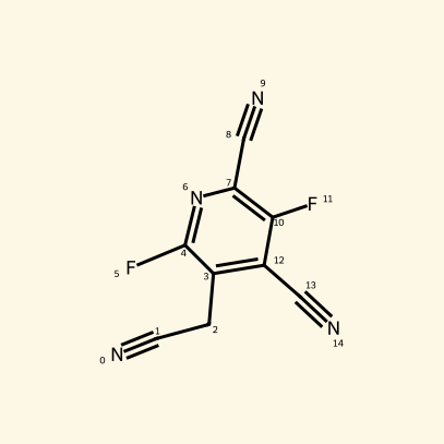 N#CCc1c(F)nc(C#N)c(F)c1C#N